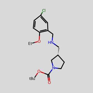 CCOc1ccc(Cl)cc1CNC[C@@H]1CCN(C(=O)OC(C)(C)C)C1